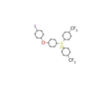 FC(F)(F)c1ccc([SH](c2ccc(Oc3ccc(I)cc3)cc2)c2ccc(C(F)(F)F)cc2)cc1